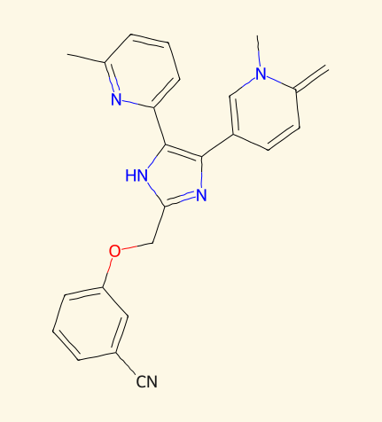 C=C1C=CC(c2nc(COc3cccc(C#N)c3)[nH]c2-c2cccc(C)n2)=CN1C